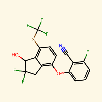 N#Cc1c(F)cccc1Oc1ccc(SC(F)(F)F)c2c1CC(F)(F)C2O